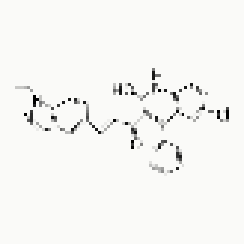 CCn1ncc2cc(/C=C/C(=O)C3=C(c4ccccc4)c4cc(Cl)ccc4NC3O)ccc21